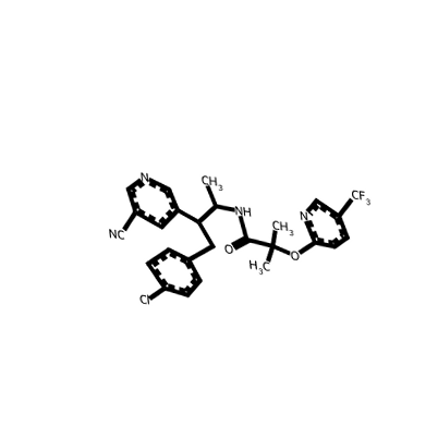 CC(NC(=O)C(C)(C)Oc1ccc(C(F)(F)F)cn1)C(Cc1ccc(Cl)cc1)c1cncc(C#N)c1